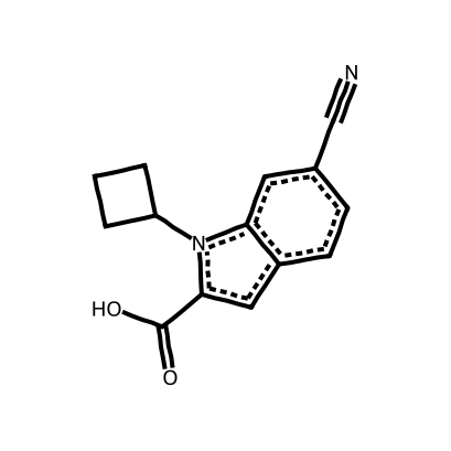 N#Cc1ccc2cc(C(=O)O)n(C3CCC3)c2c1